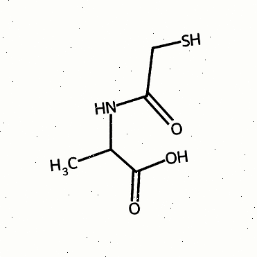 CC(NC(=O)CS)C(=O)O